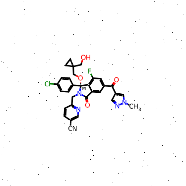 Cn1cc(C(=O)c2cc(F)c3c(c2)C(=O)N(Cc2ccc(C#N)cn2)[C@@]3(OCC2(CO)CC2)c2ccc(Cl)cc2)cn1